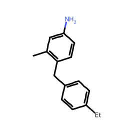 CCc1ccc(Cc2ccc(N)cc2C)cc1